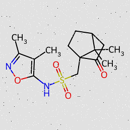 Cc1noc(NS(=O)(=O)CC23CCC(CC2=O)C3(C)C)c1C